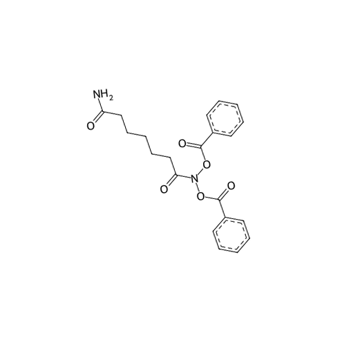 NC(=O)CCCCCC(=O)N(OC(=O)c1ccccc1)OC(=O)c1ccccc1